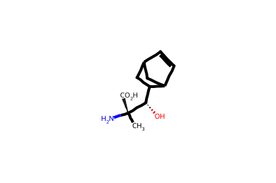 C[C@@](N)(C(=O)O)[C@@H](O)C1CC2C=CC1C2